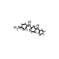 Nc1ccc(Nc2ncnc(Nc3ccccc3)n2)cc1